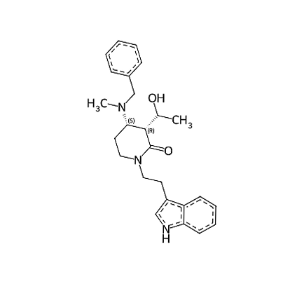 CC(O)[C@@H]1C(=O)N(CCc2c[nH]c3ccccc23)CC[C@@H]1N(C)Cc1ccccc1